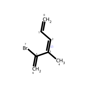 C=C/C=C(/C)C(=C)Br